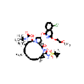 COCCOc1cc2c(Cl)cccc2c(O[C@@H]2C[C@H]3C(=O)N[C@]4(C(=O)NS(=O)(=O)C5(C)CC5)C[C@H]4/C=C\CC[C@H](C)C[C@@H](C)[C@H](N(C(=O)O)C(C)(C)C)C(=O)N3C2)n1